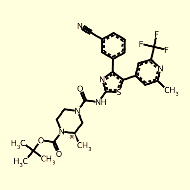 Cc1cc(-c2sc(NC(=O)N3CCN(C(=O)OC(C)(C)C)[C@H](C)C3)nc2-c2cccc(C#N)c2)cc(C(F)(F)F)n1